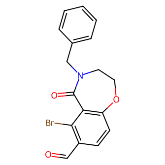 O=Cc1ccc2c(c1Br)C(=O)N(Cc1ccccc1)CCO2